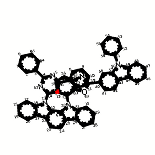 c1ccc(-c2nc(-c3ccccc3)nc(-n3c4ccccc4c4ccc5c6ccccc6n(-c6cccc7nc(-c8ccc9c%10ccccc%10n(-c%10ccccc%10)c9c8)oc67)c5c43)n2)cc1